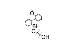 COc1ccccc1-c1ccccc1BOC(C)(C)C(C)(C)O